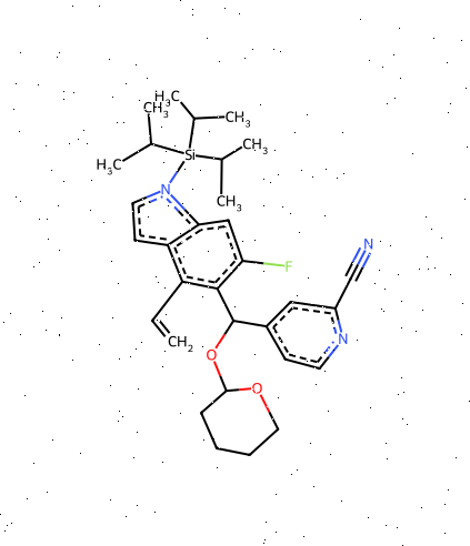 C=Cc1c(C(OC2CCCCO2)c2ccnc(C#N)c2)c(F)cc2c1ccn2[Si](C(C)C)(C(C)C)C(C)C